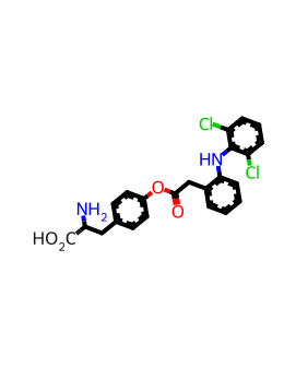 NC(Cc1ccc(OC(=O)Cc2ccccc2Nc2c(Cl)cccc2Cl)cc1)C(=O)O